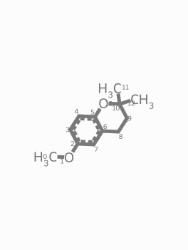 COc1ccc2c(c1)C[CH]C(C)(C)O2